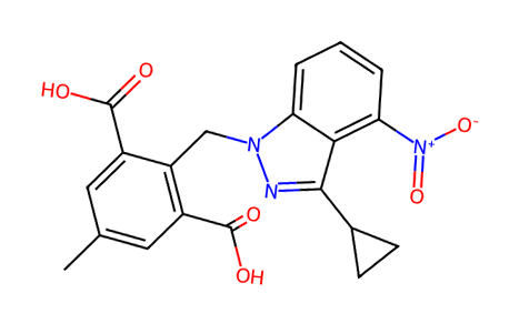 Cc1cc(C(=O)O)c(Cn2nc(C3CC3)c3c([N+](=O)[O-])cccc32)c(C(=O)O)c1